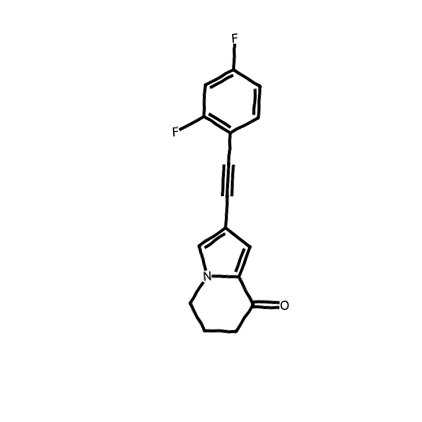 O=C1CCCn2cc(C#Cc3ccc(F)cc3F)cc21